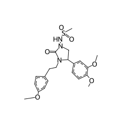 COc1ccc(CCN2C(=O)N(NS(C)(=O)=O)CC2c2ccc(OC)c(OC)c2)cc1